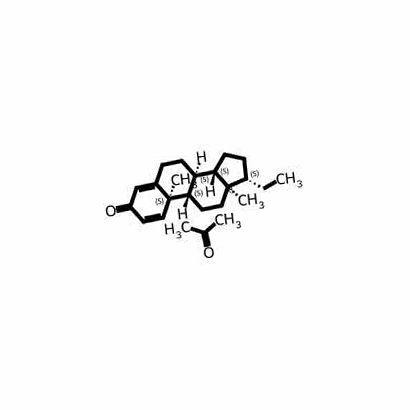 CC(C)=O.CC[C@H]1CC[C@H]2[C@@H]3CCC4=CC(=O)C=C[C@]4(C)[C@H]3CC[C@]12C